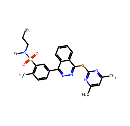 CCC(C)CCN(CC)S(=O)(=O)c1cc(-c2nnc(Sc3nc(C)cc(C)n3)c3ccccc23)ccc1C